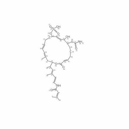 CC(C)=CC(=O)N/C=C/C(C)=C/C(C)C1C/C(C)=C/C=C/CCC(OS(=O)(=O)O)/C=C/C(O)C(OC(N)=O)CCC/C=C/C(=O)O1